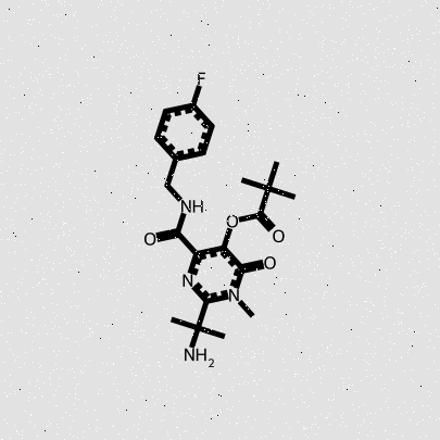 Cn1c(C(C)(C)N)nc(C(=O)NCc2ccc(F)cc2)c(OC(=O)C(C)(C)C)c1=O